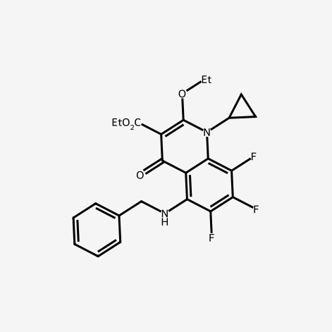 CCOC(=O)c1c(OCC)n(C2CC2)c2c(F)c(F)c(F)c(NCc3ccccc3)c2c1=O